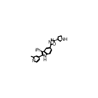 Cc1cc(-c2[nH]c3ccc(-c4nnc([C@H]5CCNC5)o4)cc3c2C(C)C)ccn1